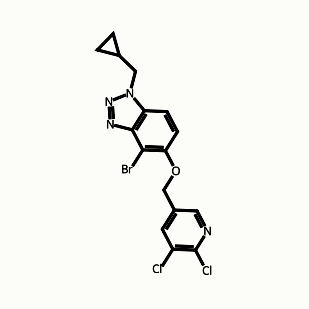 Clc1cc(COc2ccc3c(nnn3CC3CC3)c2Br)cnc1Cl